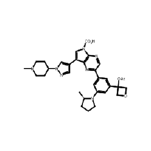 CC(=O)OC1(c2cc(-c3cnc4c(n3)c(-c3cnn(C5CCN(C)CC5)c3)cn4C(=O)O)cc(N3CCC[C@H]3C)c2)COC1